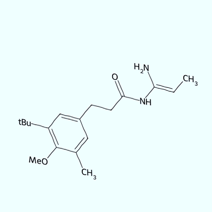 CC=C(N)NC(=O)CCc1cc(C)c(OC)c(C(C)(C)C)c1